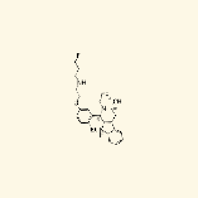 CCc1ccc(OCCNCCCF)cc1[C@@H]1c2[nH]c3ccccc3c2C[C@@H](C)N1CC(F)(F)F